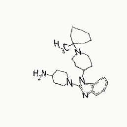 CC1(N2CCC(n3c(N4CCC(N)CC4)nc4ccccc43)CC2)CCCCCC1